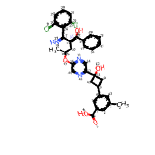 Cc1cc(C(=O)O)cc(C2CC(O)(c3cnc(O[C@@H](C)C/C(C(=N)c4c(Cl)cccc4Cl)=C(/O)c4ccccc4)cn3)C2)c1